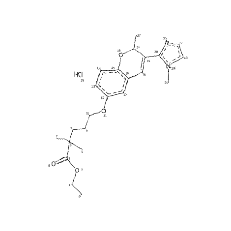 CCOC(=O)C(C)(C)CCCOc1ccc2c(c1)C=C(c1nccn1C)C(C)O2.Cl